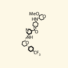 CO[C@@H]1COCC[C@@H]1NC1CCN(C(=O)c2cncc(NC[C@H]3CCC[C@@H](c4ccc(C(F)(F)F)cc4)O3)c2)CC1